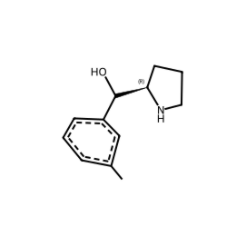 Cc1cccc(C(O)[C@H]2CCCN2)c1